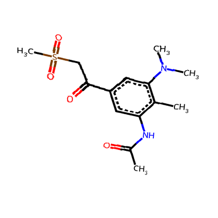 CC(=O)Nc1cc(C(=O)CS(C)(=O)=O)cc(N(C)C)c1C